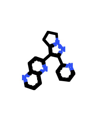 c1ccc(-c2nn3c(c2-c2ccc4ncccc4n2)CCC3)nc1